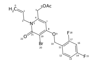 C=CCn1c(COC(C)=O)cc(OCc2ccc(F)cc2F)c(Br)c1=O